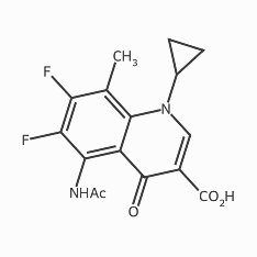 CC(=O)Nc1c(F)c(F)c(C)c2c1c(=O)c(C(=O)O)cn2C1CC1